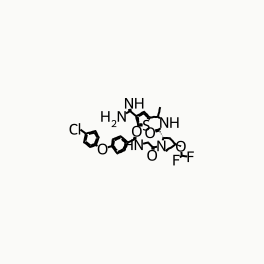 CC(NC(=O)[C@@H]1C[C@@H](OC(F)F)CN1C(=O)CNC(=O)c1ccc(Oc2ccc(Cl)cc2)cc1)c1cc(C(=N)N)cs1